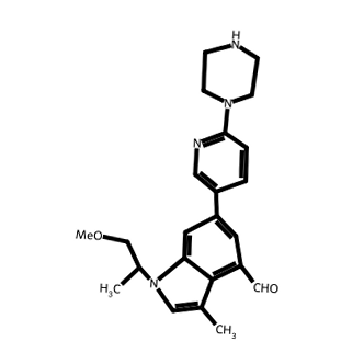 COCC(C)n1cc(C)c2c(C=O)cc(-c3ccc(N4CCNCC4)nc3)cc21